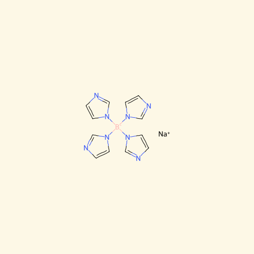 [Na+].c1cn([B-](n2ccnc2)(n2ccnc2)n2ccnc2)cn1